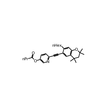 CCCCCCc1cc2c(cc1C#Cc1ccc(OC(=O)CCC)cn1)C(C)(C)CC(C)(C)O2